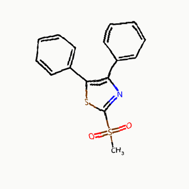 CS(=O)(=O)c1nc(-c2ccccc2)c(-c2ccccc2)s1